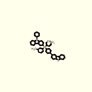 C/C=C\C(=C/C)[Si](C1=CC(C)CC=C1)(c1ccc(-c2ccc3sc4ccccc4c3c2)cc1)c1ccc2c(c1)c1ccccc1n2-c1ccccc1